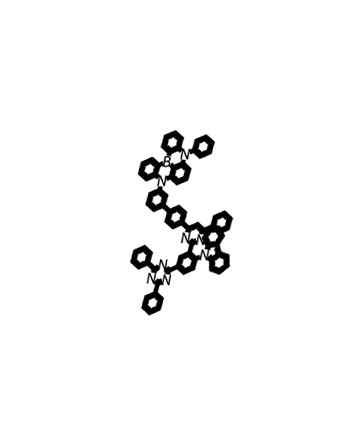 c1ccc(-c2cc(-c3ccc(-c4cccc(N5c6ccccc6B6c7ccccc7N(c7ccccc7)c7cccc5c76)c4)cc3)nc(-c3cc(-c4nc(-c5ccccc5)nc(-c5ccccc5)n4)ccc3-n3c4ccccc4c4ccccc43)n2)cc1